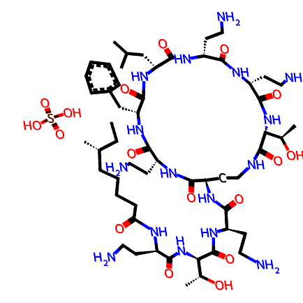 CC[C@@H](C)CCCCC(=O)N[C@H](CCN)C(=O)N[C@@H](C(=O)N[C@H](CCN)C(=O)N[C@@H]1CCNC(=O)[C@@H]([C@@H](C)O)NC(=O)[C@@H](CCN)NC(=O)[C@@H](CCN)NC(=O)[C@@H](CC(C)C)NC(=O)[C@@H](Cc2ccccc2)NC(=O)[C@@H](CCN)NC1=O)[C@@H](C)O.O=S(=O)(O)O